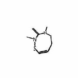 C=C1N(C)CC/C=C\SN1C